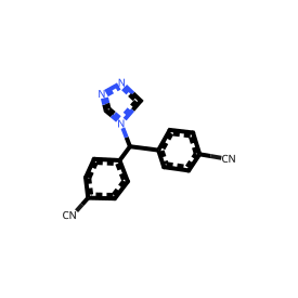 [C-]#[N+]c1ccc(C(c2ccc(C#N)cc2)n2cnnc2)cc1